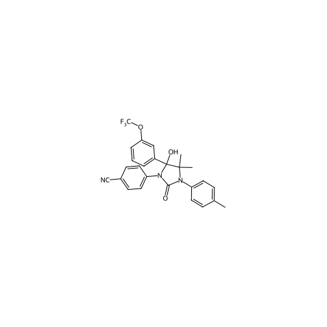 Cc1ccc(N2C(=O)N(c3ccc(C#N)cc3)C(O)(c3cccc(OC(F)(F)F)c3)C2(C)C)cc1